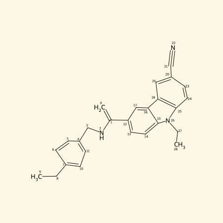 C=C(NCc1ccc(CC)cc1)c1ccc2c(c1)c1cc(C#N)ccc1n2CC